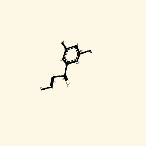 C/C=C/C(=O)c1cc(C)cc(C)c1